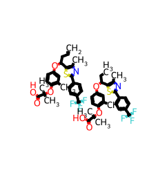 C=CCC(Oc1ccc(OC(C)(C)C(=O)O)c(C)c1)c1sc(-c2ccc(C(F)(F)F)cc2)nc1C.CCC(Oc1ccc(OC(C)(C)C(=O)O)c(C)c1)c1sc(-c2ccc(C(F)(F)F)cc2)nc1C